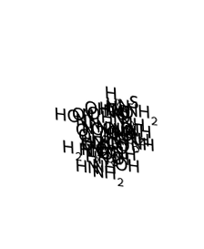 CSCC[C@H](NC(=O)[C@H](CC(C)C)NC(=O)[C@H](Cc1c[nH]cn1)NC(=O)CNC(=O)[C@@H](NC(=O)[C@H](C)NC(=O)[C@H](Cc1c[nH]c2ccccc12)NC(=O)[C@H](CCC(N)=O)NC(=O)[C@H](CC(N)=O)NC(=O)CNC(=O)[C@H](Cc1ccc(O)cc1)NC(=O)[C@H](CCCNC(=N)N)NC(=O)[C@H](CCC(N)=O)NC(=O)c1ccc(NC(=O)CNC(=O)CN2CCN(CC(=O)O)CCN(CC(=O)O)CCN(CC(=O)O)CC2)cc1)C(C)C)C(N)=O